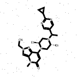 CC[C@H]1CN(C(C)c2cnc(C3CC3)nc2)[C@H](CC)CN1c1cc(=O)n(C)c2cn(CC#N)nc12